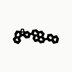 c1ccc2cc(-c3ccc4ccc5c(-c6ccc7c(c6)oc6ccc8ccccc8c67)ccc6ccc3c4c65)ccc2c1